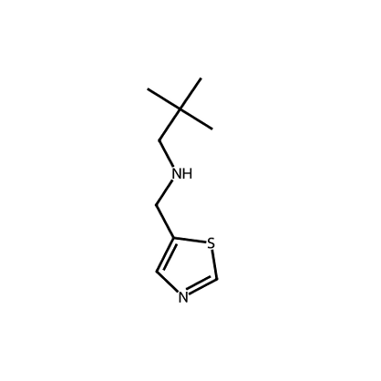 CC(C)(C)CNCc1cncs1